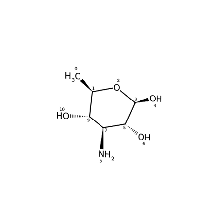 C[C@H]1O[C@@H](O)[C@H](O)[C@@H](N)[C@@H]1O